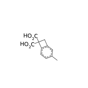 Cc1ccc2c(c1)CC2(C(=O)O)C(=O)O